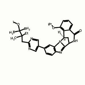 BC(B)(OI)C(C)(CC)Cc1ncc(-c2ccc3nc4n(c3c2)[C@@H]2CC4NC(=O)c3cccc(OC(C)C)c32)cn1